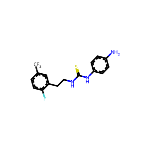 Nc1ccc(NC(=S)NCCc2cc(C(F)(F)F)ccc2F)cc1